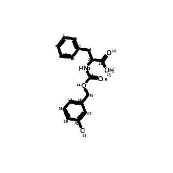 O=C(NC(Cc1ccccc1)C(=O)O)OCc1cccc(Cl)c1